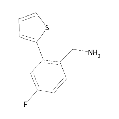 NCc1ccc(F)cc1-c1cccs1